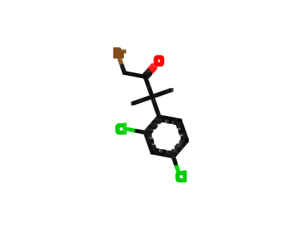 CC(C)(C(=O)CBr)c1ccc(Cl)cc1Cl